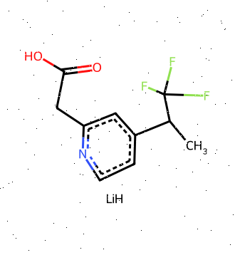 CC(c1ccnc(CC(=O)O)c1)C(F)(F)F.[LiH]